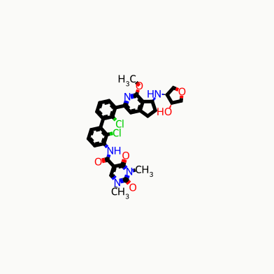 COc1nc(-c2cccc(-c3cccc(NC(=O)c4cn(C)c(=O)n(C)c4=O)c3Cl)c2Cl)cc2c1[C@@H](N[C@@H]1COC[C@@H]1O)CC2